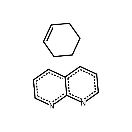 C1=CCCCC1.c1cnc2ncccc2c1